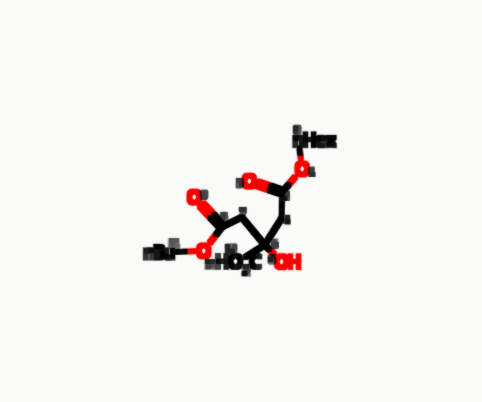 CCCCCCOC(=O)CC(O)(CC(=O)OCCCC)C(=O)O